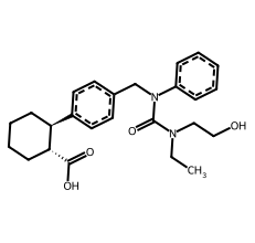 CCN(CCO)C(=O)N(Cc1ccc([C@@H]2CCCC[C@H]2C(=O)O)cc1)c1ccccc1